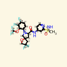 C[S@@](=N)(=O)c1cc(NC(=O)C2CC3(CN2c2ccc(F)c(F)c2OC(F)F)CC(F)(F)CO3)ccn1